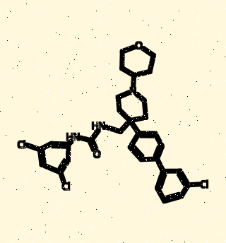 O=C(NCC1(c2ccc(-c3cccc(Cl)c3)cc2)CCN(C2CCOCC2)CC1)Nc1cc(Cl)cc(Cl)c1